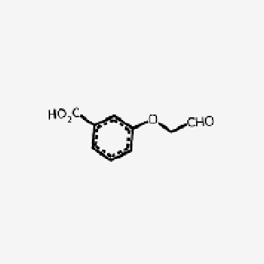 O=CCOc1cccc(C(=O)O)c1